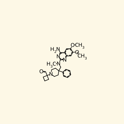 COc1cc2nc(N(C)CC3(c4ccccc4)CCN(C4(C=O)CCC4)CC3)nc(N)c2cc1OC